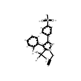 C#CCn1nc(-c2ccc(S(C)(=O)=O)cc2)c(-c2ccccc2F)c1C(F)(F)F